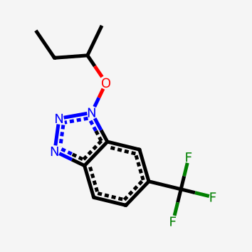 CCC(C)On1nnc2ccc(C(F)(F)F)cc21